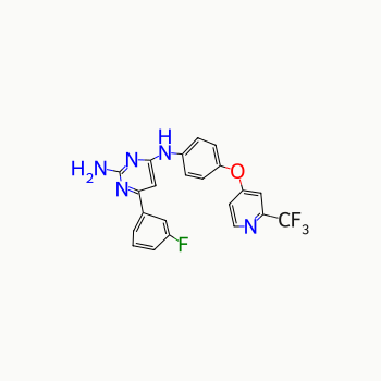 Nc1nc(Nc2ccc(Oc3ccnc(C(F)(F)F)c3)cc2)cc(-c2cccc(F)c2)n1